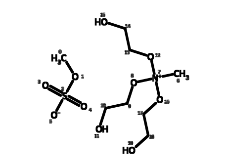 COS(=O)(=O)[O-].C[N+](OCCO)(OCCO)OCCO